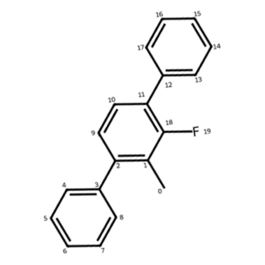 Cc1c(-c2ccccc2)[c]cc(-c2ccccc2)c1F